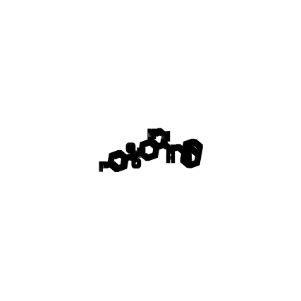 O=S(=O)(c1ccc(F)cc1)N1CCc2c(ncnc2NCC23CC4CC(CC(C4)C2)C3)C1